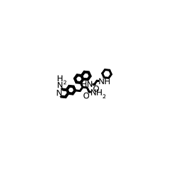 NC(=O)C(NC(=O)CNC1CCCCC1)C(Cc1ccc2c(N)nccc2c1)c1cccc2ccccc12